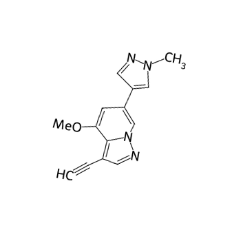 C#Cc1cnn2cc(-c3cnn(C)c3)cc(OC)c12